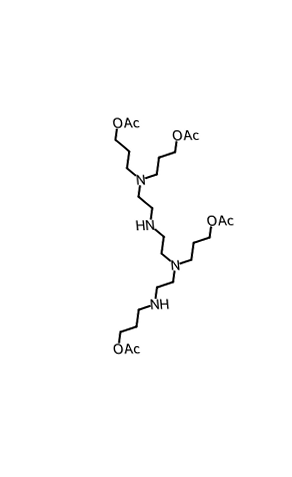 CC(=O)OCCCNCCN(CCCOC(C)=O)CCNCCN(CCCOC(C)=O)CCCOC(C)=O